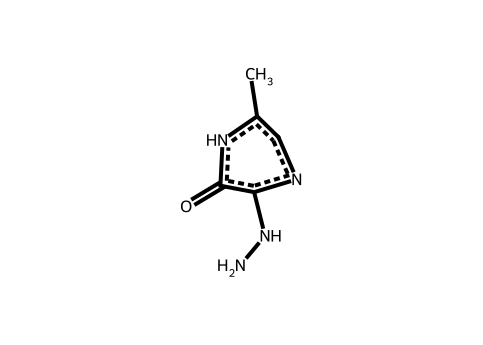 Cc1cnc(NN)c(=O)[nH]1